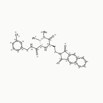 CC(C)C[C@H](N[C@H](CCN1C(=O)c2cc3ccccc3cc2C1=O)C(=O)OC(C)(C)C)C(=O)NCc1cccc(C(F)(F)F)c1